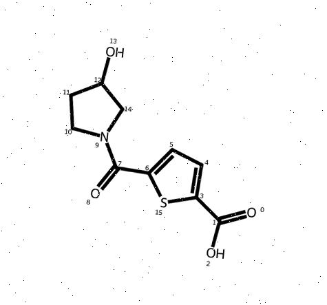 O=C(O)c1ccc(C(=O)N2CCC(O)C2)s1